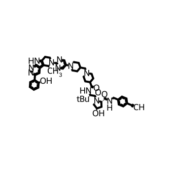 C#Cc1ccc(CNC(=O)[C@@H]2C[C@@H](O)CN2C(=O)[C@@H](NC(=O)C2CCN(CC3CCN(c4cnc(N5CCc6[nH]c7nnc(-c8ccccc8O)cc7c6[C@@H]5C)nc4)CC3)CC2)C(C)(C)C)cc1